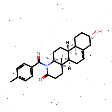 Cc1ccc(C(=O)N2C(=O)CC[C@H]3[C@@H]4CC=C5C[C@@H](O)CC[C@]5(C)[C@H]4CC[C@@]32C)cc1